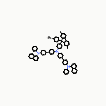 Cc1ccc2c(c1)C(c1ccc(N(c3ccc(-c4ccc(N(c5ccccc5)c5cccc6ccccc56)cc4)cc3)c3ccc(-c4ccc(N(c5ccccc5)c5cccc6ccccc56)cc4)cc3)cc1)(c1ccc(C(C)(C)C)cc1)c1cc(C)ccc1-2